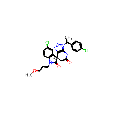 COCCCN1C(=O)[C@]2(CC(=O)Nc3c2nnn3C(C)c2ccc(Cl)cc2)c2cc(Cl)ccc21